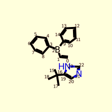 C=CB(c1ccccc1)c1ccccc1.CC(C)(C)c1cnc[nH]1